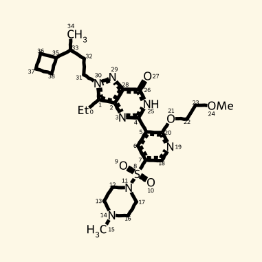 CCc1c2nc(-c3cc(S(=O)(=O)N4CCN(C)CC4)cnc3OCCOC)[nH]c(=O)c2nn1CCC(C)C1CCC1